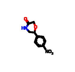 O=C1COC(c2ccc([N+](=O)[O-])cc2)CN1